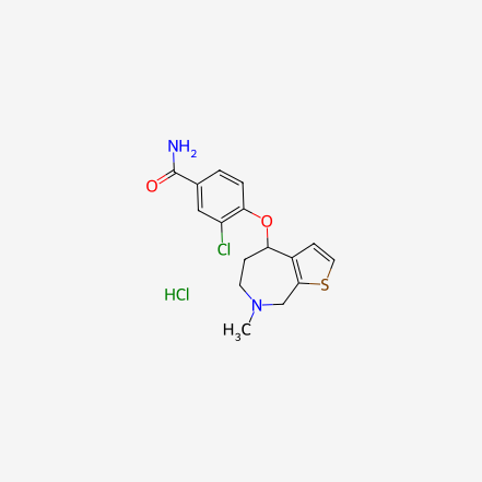 CN1CCC(Oc2ccc(C(N)=O)cc2Cl)c2ccsc2C1.Cl